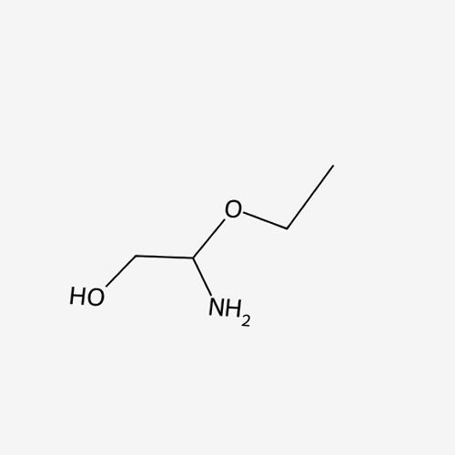 CCOC(N)CO